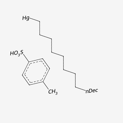 CCCCCCCCCCCCCCCCC[CH2][Hg].Cc1ccc(S(=O)(=O)O)cc1